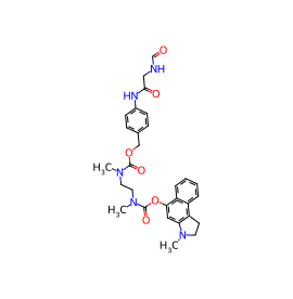 CN(CCN(C)C(=O)Oc1cc2c(c3ccccc13)CCN2C)C(=O)OCc1ccc(NC(=O)CNC=O)cc1